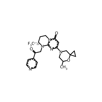 CC1CN(c2cc(=O)n3c(n2)N(CC(=O)c2ccncc2)[C@H](C(F)(F)F)CC3)CC2(CC2)O1